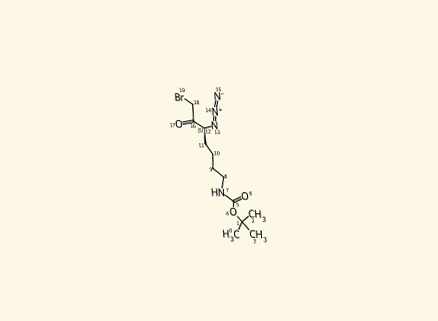 CC(C)(C)OC(=O)NCCCC[C@H](N=[N+]=[N-])C(=O)CBr